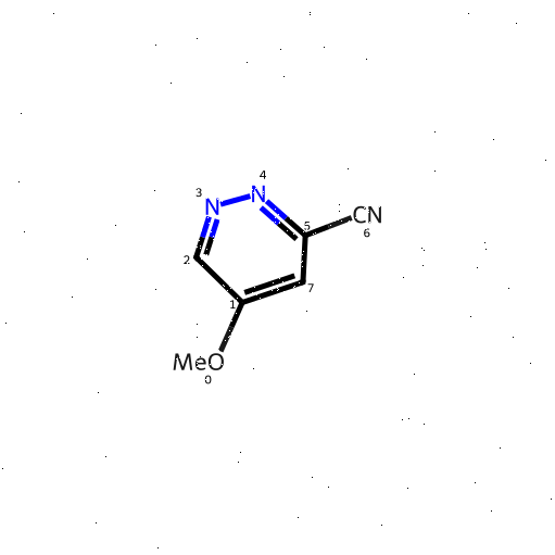 COc1cnnc(C#N)c1